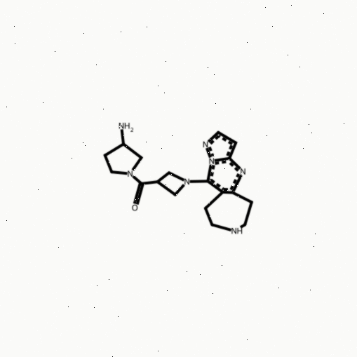 NC1CCN(C(=O)C2CN(c3c4c(nc5ccnn35)CCNCC4)C2)C1